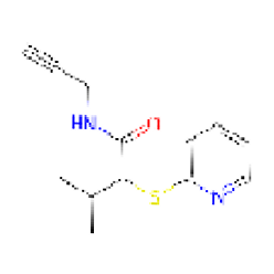 C#CCNC(=O)C(Sc1ccccn1)C(C)C